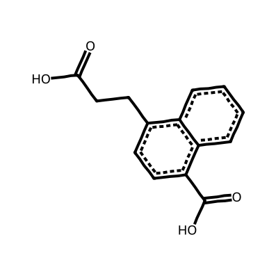 O=C(O)CCc1ccc(C(=O)O)c2ccccc12